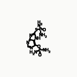 NP(N)(=O)Oc1ncnc2nc(SP(N)(N)=O)[nH]c12